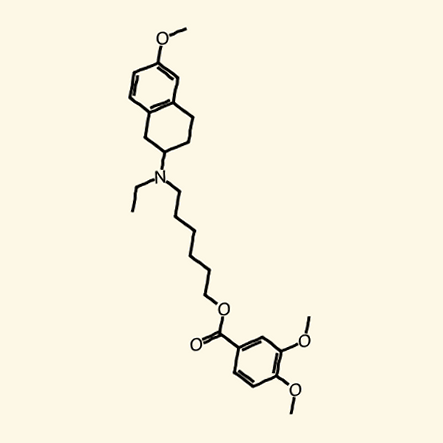 CCN(CCCCCCOC(=O)c1ccc(OC)c(OC)c1)C1CCc2cc(OC)ccc2C1